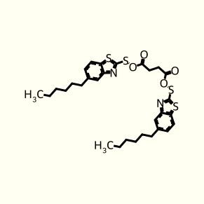 CCCCCCc1ccc2sc(SOC(=O)CCC(=O)OSc3nc4cc(CCCCCC)ccc4s3)nc2c1